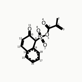 C=C(C)C(=O)OS(=O)(=O)C1C(=O)C=Cc2ccccc21